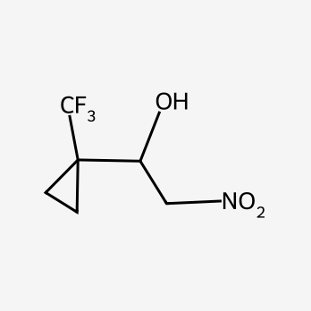 O=[N+]([O-])CC(O)C1(C(F)(F)F)CC1